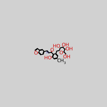 Cc1cc(O)c(C(=O)/C=C/c2ccc3occc3c2)c(CC2OC(CO)C(O)C(O)C2O)c1